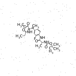 CCC(=O)N[C@@H](C(=O)OC)[C@@H](C)c1ccc(NC(=O)C(C)NC(=O)OC(C)(C)C)c(F)c1